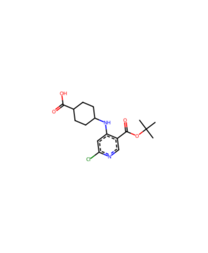 CC(C)(C)OC(=O)c1cnc(Cl)cc1NC1CCC(C(=O)O)CC1